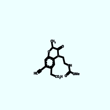 C#Cc1cc2c(cc1CC(=O)O)N(CCNC(=O)OC)C(=O)C(C)O2